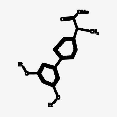 CCOc1cc(OCC)cc(-c2ccc(C(C)C(=O)OC)cc2)c1